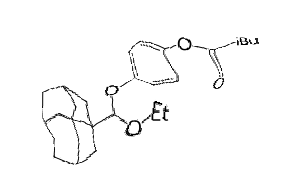 CCOC(Oc1ccc(OC(=O)C(C)CC)cc1)C12CC3CC(CC(C3)C1)C2